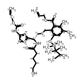 C=CCOC(=O)Nc1noc([C@H](CSCc2c(O[Si](C)(C)C(C)(C)C(C)C)cc(OC)c(C)c2C(=O)OCC=C)NC(=O)CCCCO)n1